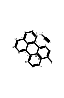 C#CO.Cc1ccc2c3cccc4cccc(c5cccc1c52)c43